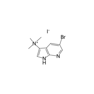 C[N+](C)(C)c1c[nH]c2ncc(Br)cc12.[I-]